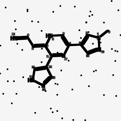 Cn1cc(C2=CN/C(=C\C=N)C(c3cn[nH]c3)=N2)cn1